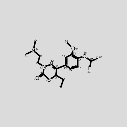 CCC1SC(=O)N(CCN(C)C)N=C1c1ccc(OC(F)F)c(OC)c1